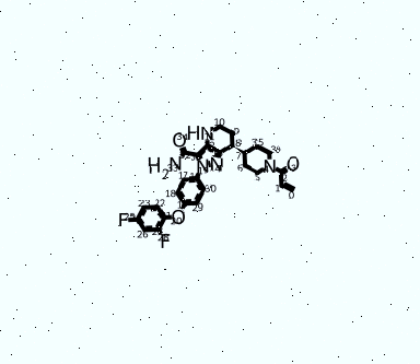 C=CC(=O)N1CCC([C@@H]2CCNc3c2nn(-c2ccc(Oc4ccc(F)cc4F)cc2)c3C(N)=O)CC1